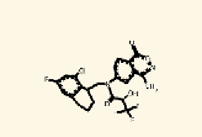 Cc1noc(=O)c2ccc(N(CC3CCCc4cc(F)cc(Cl)c43)C(=O)[C@@H](O)C(F)(F)F)cc12